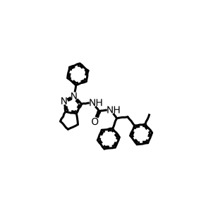 Cc1ccccc1CC(NC(=O)Nc1c2c(nn1-c1ccccc1)CCC2)c1ccccc1